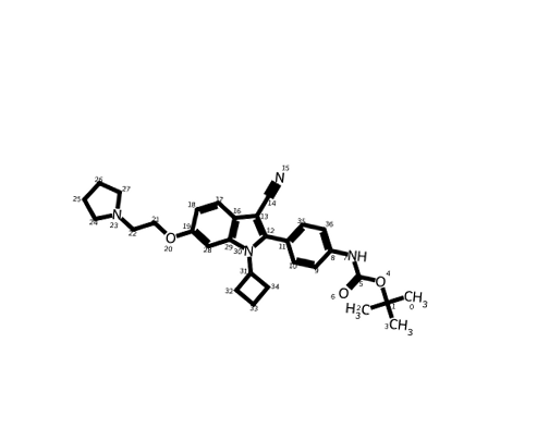 CC(C)(C)OC(=O)Nc1ccc(-c2c(C#N)c3ccc(OCCN4CCCC4)cc3n2C2CCC2)cc1